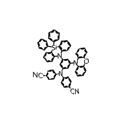 N#Cc1ccc(N(c2ccc(C#N)cc2)c2cc(N3c4ccccc4Oc4ccccc43)cc(N3c4ccccc4[Si](c4ccccc4)(c4ccccc4)c4ccccc43)c2)cc1